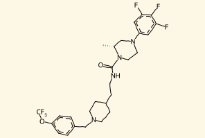 C[C@@H]1CN(c2cc(F)c(F)c(F)c2)CCN1C(=O)NCCC1CCN(Cc2ccc(OC(F)(F)F)cc2)CC1